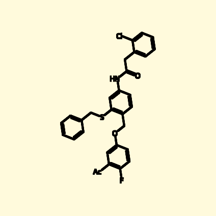 CC(=O)c1cc(OCc2ccc(NC(=O)Cc3ccccc3Cl)cc2SCc2ccccc2)ccc1F